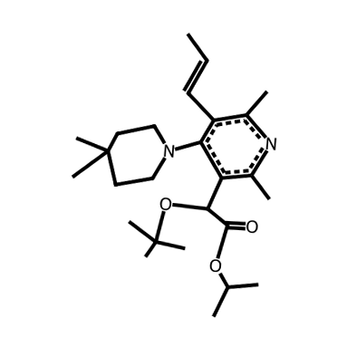 CC=Cc1c(C)nc(C)c(C(OC(C)(C)C)C(=O)OC(C)C)c1N1CCC(C)(C)CC1